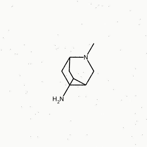 CN1CC2CCC1CC2N